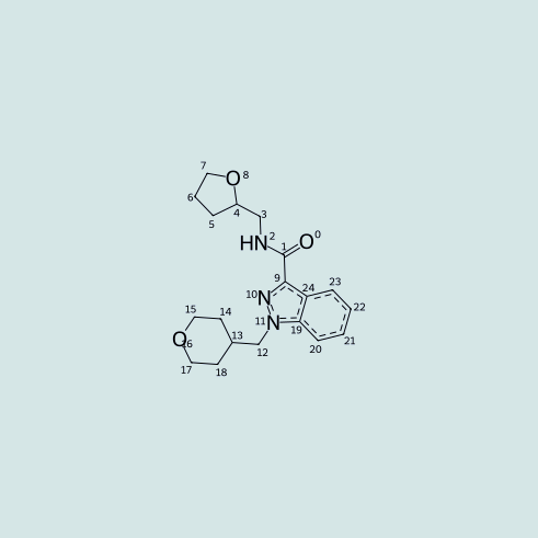 O=C(NCC1CCCO1)c1nn(CC2CCOCC2)c2ccccc12